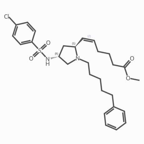 COC(=O)CCC/C=C\[C@@H]1C[C@@H](NS(=O)(=O)c2ccc(Cl)cc2)CN1CCCCCc1ccccc1